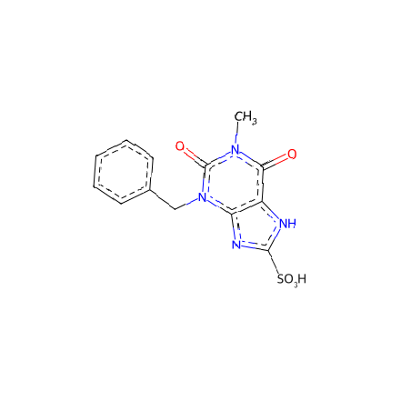 Cn1c(=O)c2[nH]c(S(=O)(=O)O)nc2n(Cc2ccccc2)c1=O